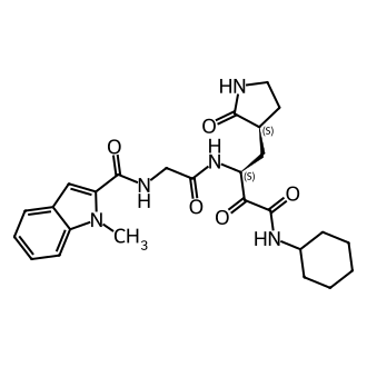 Cn1c(C(=O)NCC(=O)N[C@@H](C[C@@H]2CCNC2=O)C(=O)C(=O)NC2CCCCC2)cc2ccccc21